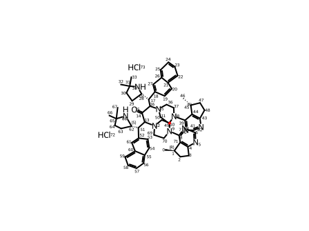 C[C@@H]1CCc2ncnc(N3CCN(C(C(=O)C(C(c4ccc5ccccc5c4)[C@@H]4CCC(C)(C)N4)N4CCN(c5ncnc6c5[C@H](C)CC6)CC4)C(c4ccc5ccccc5c4)[C@@H]4CCC(C)(C)N4)CC3)c21.Cl.Cl